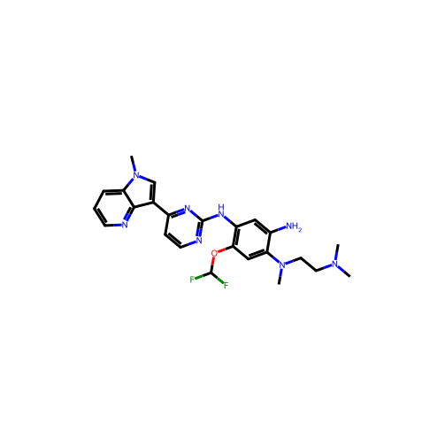 CN(C)CCN(C)c1cc(OC(F)F)c(Nc2nccc(-c3cn(C)c4cccnc34)n2)cc1N